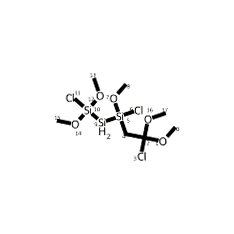 COC(Cl)(C[Si](Cl)(OC)[SiH2][Si](Cl)(OC)OC)OC